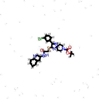 CC(C)(C)OC(=O)N1CCC2(CC1)N=C(SCC(=O)Nc1cnc3ccccc3c1)C(c1cccc(Br)c1)=N2